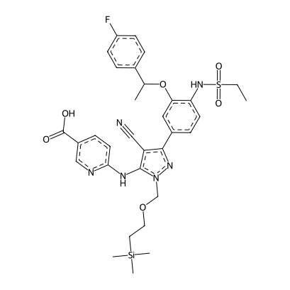 CCS(=O)(=O)Nc1ccc(-c2nn(COCC[Si](C)(C)C)c(Nc3ccc(C(=O)O)cn3)c2C#N)cc1OC(C)c1ccc(F)cc1